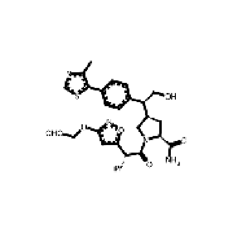 Cc1ncsc1-c1ccc([C@@H](CO)[C@H]2C[C@@H](C(N)=O)N(C(=O)[C@@H](c3cc(OCC=O)no3)C(C)C)C2)cc1